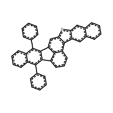 c1ccc(-c2c3c(c(-c4ccccc4)c4ccccc24)-c2cc4oc5cc6ccccc6cc5c4c4cccc-3c24)cc1